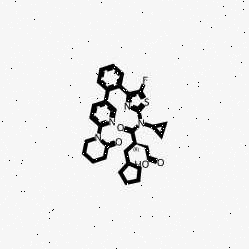 O=C(O)C[C@@H](CC1CCCC1)C(=O)N(c1nc(-c2ccccc2-c2ccc(N3CCCCC3=O)nc2)c(F)s1)C1CC1